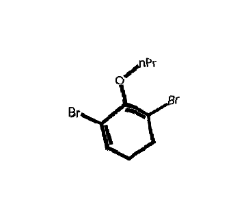 CCCOC1=C(Br)CCC=C1Br